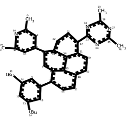 Cc1cc(-c2cc3c(-c4cc(C(C)(C)C)cc(C(C)(C)C)c4)ccc4ccc5c(-c6nc(C)nc(C)n6)ccc2c5c43)cc(C)n1